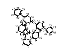 O=c1c2ccccc2c2cccc3c2n1-c1ccccc1-c1cc(-c2ccccc2)ccc1Oc1ccc(-c2ccccc2)cc1-3